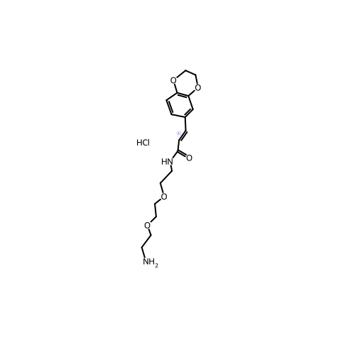 Cl.NCCOCCOCCNC(=O)/C=C/c1ccc2c(c1)OCCO2